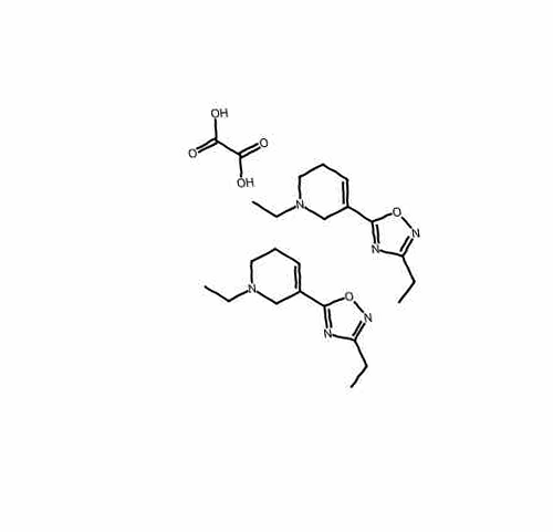 CCc1noc(C2=CCCN(CC)C2)n1.CCc1noc(C2=CCCN(CC)C2)n1.O=C(O)C(=O)O